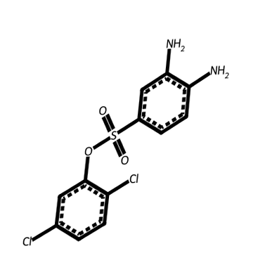 Nc1ccc(S(=O)(=O)Oc2cc(Cl)ccc2Cl)cc1N